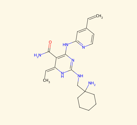 C=Cc1ccnc(NC2=C(C(N)=O)C(=CC)NC(NCC3(N)CCCCC3)=N2)c1